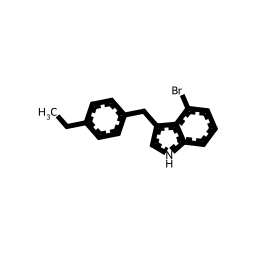 CCc1ccc(Cc2c[nH]c3cccc(Br)c23)cc1